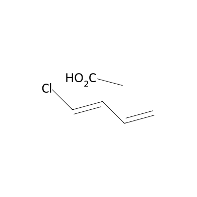 C=CC=CCl.CC(=O)O